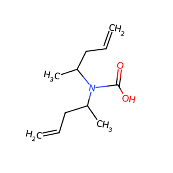 C=CCC(C)N(C(=O)O)C(C)CC=C